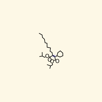 CCCCCCCCCC/C(C(=O)OCC(C)C)=C(/C(=O)OCC(C)C)C1CCCCC1